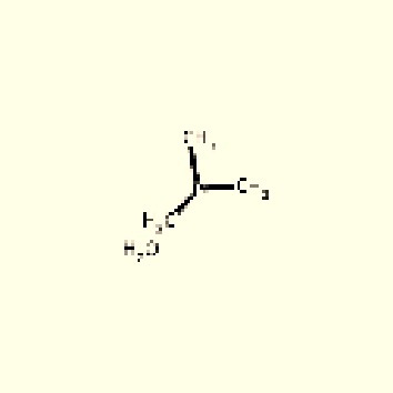 CP(C)C.O